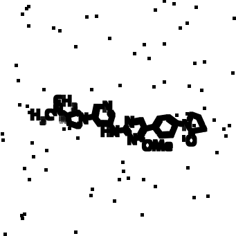 COc1nc(Nc2cncc(N3CC[C@@H](N(C)C)C3)c2)ncc1-c1ccc(N2CCCC2=O)cc1